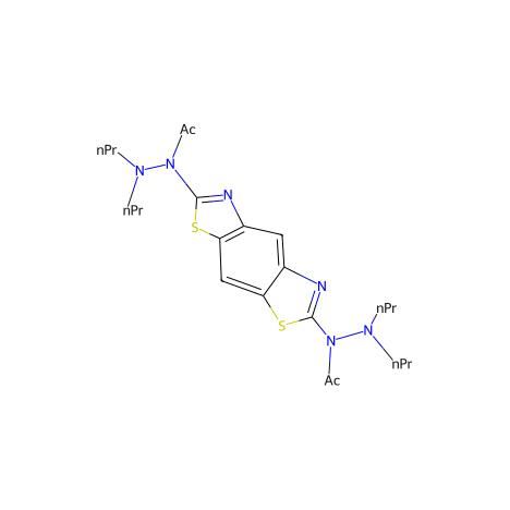 CCCN(CCC)N(C(C)=O)c1nc2cc3nc(N(C(C)=O)N(CCC)CCC)sc3cc2s1